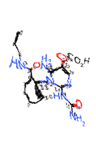 C=CCNC(=O)c1ccccc1N1C(NC(N)=O)=NC=C(OC(=O)O)C1N